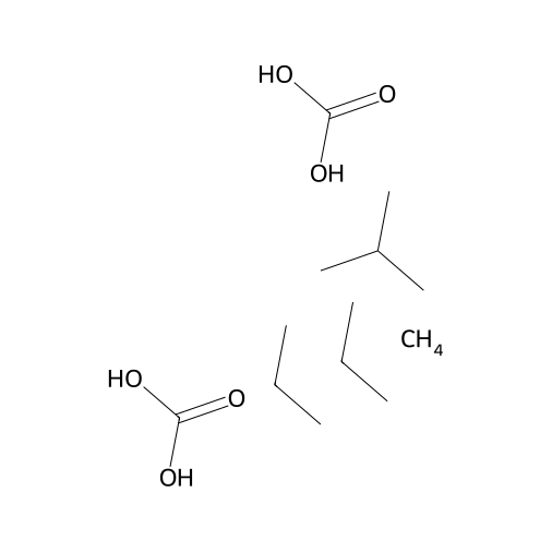 C.CC(C)C.CCC.CCC.O=C(O)O.O=C(O)O